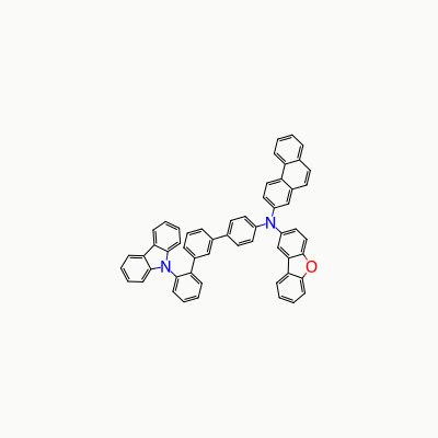 c1cc(-c2ccc(N(c3ccc4c(ccc5ccccc54)c3)c3ccc4oc5ccccc5c4c3)cc2)cc(-c2ccccc2-n2c3ccccc3c3ccccc32)c1